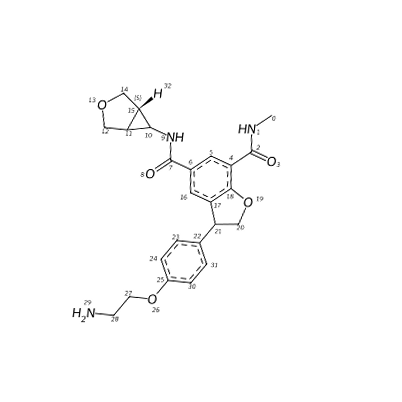 CNC(=O)c1cc(C(=O)NC2C3COC[C@@H]32)cc2c1OCC2c1ccc(OCCN)cc1